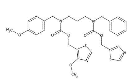 COc1ccc(CN(CCCN(Cc2ccccc2)C(=O)OCc2cncs2)C(=O)OCc2scnc2OC)cc1